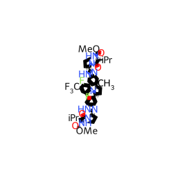 COC(=O)N[C@H](C(=O)N1CCC[C@H]1c1nc2c([nH]1)C=CC(C)([C@H]1CC[C@@H](c3ccc4[nH]c([C@@H]5CCCN5C(=O)[C@@H](NC(=O)OC)C(C)C)nc4c3)N1c1cc(F)c(C(F)(F)F)cc1F)C2)C(C)C